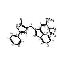 CO/C(=C/c1c(Cc2nc(-c3ccccc3)oc2C)cc2coccc1-2)C(N)=O